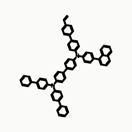 C=Cc1ccc(-c2ccc(N(c3ccc(-c4ccc(N(c5ccc(-c6ccccc6)cc5)c5ccc(-c6ccccc6)cc5)cc4)cc3)c3ccc(-c4cccc5ccccc45)cc3)cc2)cc1